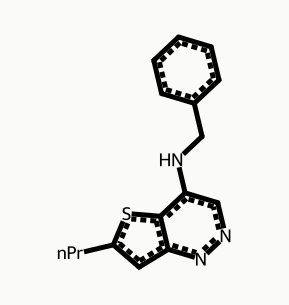 CCCc1cc2nncc(NCc3ccccc3)c2s1